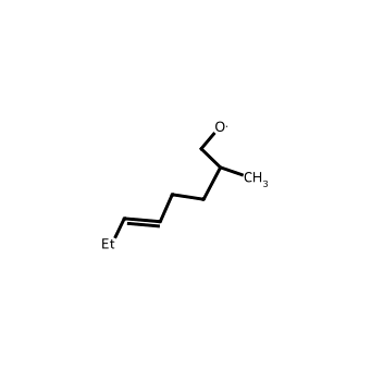 CC/C=C/CCC(C)C[O]